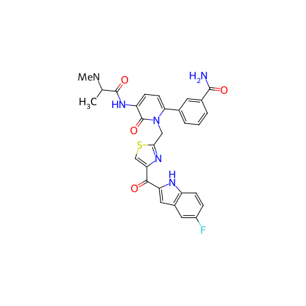 CNC(C)C(=O)Nc1ccc(-c2cccc(C(N)=O)c2)n(Cc2nc(C(=O)c3cc4cc(F)ccc4[nH]3)cs2)c1=O